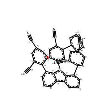 Cc1cc(C#N)c(-c2ccncc2)cc1-n1c2c(-c3ccc(C#N)cc3C#N)cccc2c2cccc(-c3ccc(C#N)cc3C#N)c21